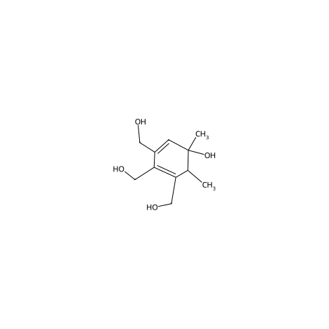 CC1C(CO)=C(CO)C(CO)=CC1(C)O